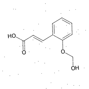 O=C(O)/C=C/c1ccccc1OCO